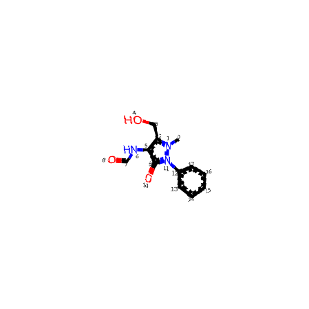 Cn1c(CO)c(NC=O)c(=O)n1-c1ccccc1